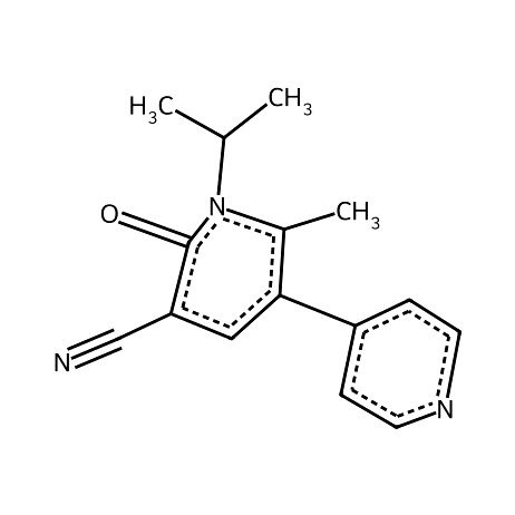 Cc1c(-c2ccncc2)cc(C#N)c(=O)n1C(C)C